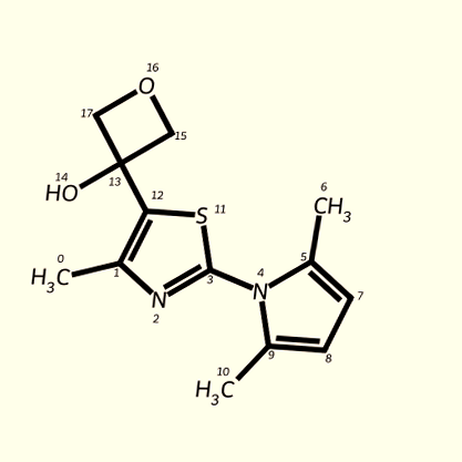 Cc1nc(-n2c(C)ccc2C)sc1C1(O)COC1